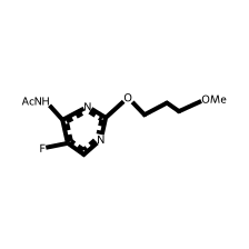 COCCCOc1ncc(F)c(NC(C)=O)n1